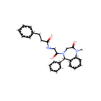 CN1C(=O)CN(C(=O)CNC(=O)CCc2ccccc2)C(c2ccccc2)c2ccccc21